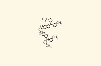 Cc1cccc(N(c2cccc(C)c2)c2ccc3cc4c(cc3c2)oc2ccc3oc5cc6cc(N(c7cccc(C)c7)c7cccc(C)c7)ccc6cc5c3c24)c1